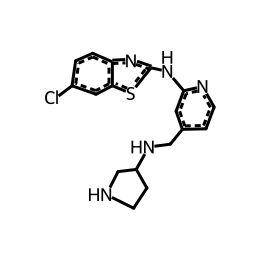 Clc1ccc2nc(Nc3cc(CNC4CCNC4)ccn3)sc2c1